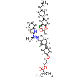 C=C(C)C(=O)OCCCOc1ccc(-c2ccc(CCC(=O)Oc3ccc(-c4ccc(CCC)cc4)cc3F)c(/C=N/N(C)c3nc4ccccc4s3)c2F)cc1